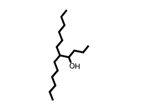 CCCCCCC(CCCCCC)C(O)CCC